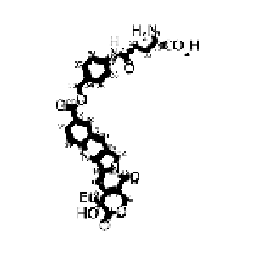 CCC1(O)C(=O)OCc2c1cc1n(c2=O)Cc2cc3cc(C(=O)OCc4ccc(NC(=O)CC[C@H](N)C(=O)O)cc4)ccc3nc2-1